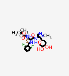 Cn1ncc(NC(=O)c2nc(-c3c(F)cccc3F)sc2NC(=O)OC(C)(C)C)c1C1CCC(O)C(O)CO1